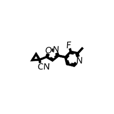 Cc1nccc(-c2cc(C3(C#N)CC3)on2)c1F